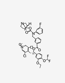 CCOc1cc([C@H](Cc2c(Cl)c[n+]([O-])cc2Cl)OC(=O)c2cccc(CN(C(=O)O[C@H]3CN4CCC3CC4)c3cccc(F)c3)c2)ccc1OC(F)F